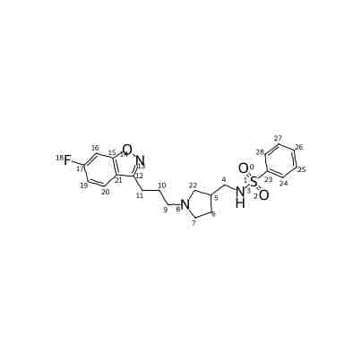 O=S(=O)(NCC1CCN(CCCc2noc3cc(F)ccc23)C1)c1ccccc1